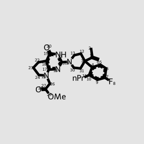 C=C(C)C1(c2ccc(F)cc2CCC)CCN(c2nc3c(c(=O)[nH]2)CCCN3CC(=O)OC)CC1